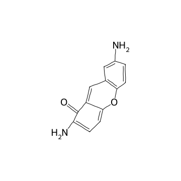 Nc1ccc2oc3ccc(N)c(=O)c-3cc2c1